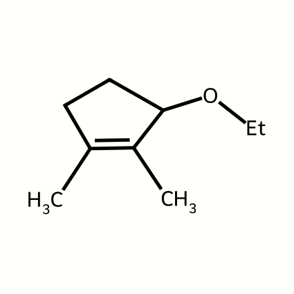 CCOC1CCC(C)=C1C